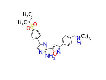 CCC(C)S(=O)(=O)c1ccc(-c2cnc(N)c(-c3cc(-c4ccc(CNC)cc4)no3)n2)cc1